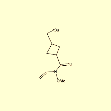 C=CN(OC)C(=O)C1CC(CC(C)(C)C)C1